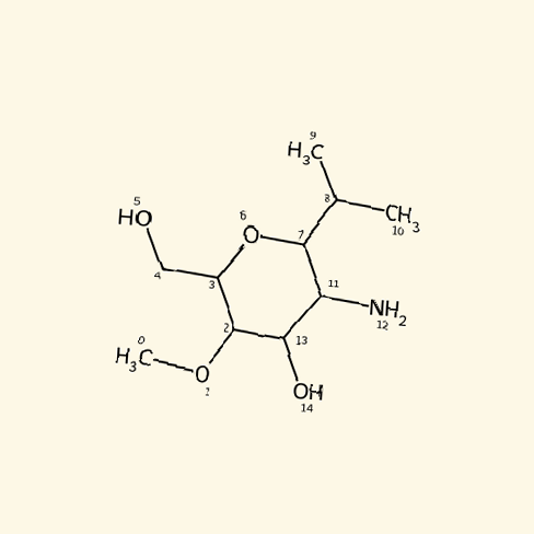 COC1C(CO)OC(C(C)C)C(N)C1O